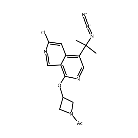 CC(=O)N1CC(Oc2ncc(C(C)(C)N=[N+]=[N-])c3cc(Cl)ncc23)C1